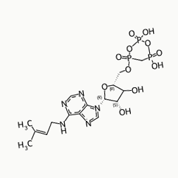 CC(C)=CCNc1ncnc2c1ncn2[C@@H]1O[C@H](COP2(=O)CP(=O)(O)OP(=O)(O)O2)C(O)[C@@H]1O